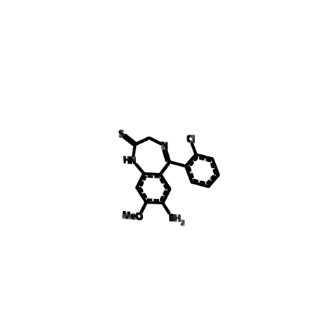 Bc1cc2c(cc1OC)NC(=S)CN=C2c1ccccc1Cl